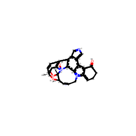 CO[C@H]1[C@@]2(C)/C=C\Cn3c4c(c5c6c(c7c(c53)[N+]1([O-])C1=C7C=C[C@@H](C1)O2)C=NC=6)C(=O)CCC=4